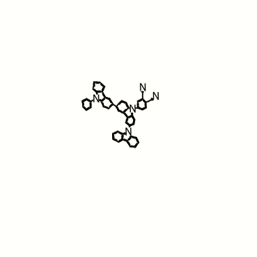 N#Cc1ccc(-n2c3ccc(-c4ccc5c(c4)c4ccccc4n5-c4ccccc4)cc3c3cc(-n4c5ccccc5c5ccccc54)ccc32)cc1C#N